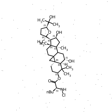 CCCC[C@H](NCl)C(=O)O[C@H]1CC[C@]23CC24CC[C@]2(C)[C@@H]([C@@]5(C)CC[C@@H](C(C)(C)O)O5)[C@@H](O)C[C@@]2(C)C4C[C@H](O)[C@H]3C1(C)C